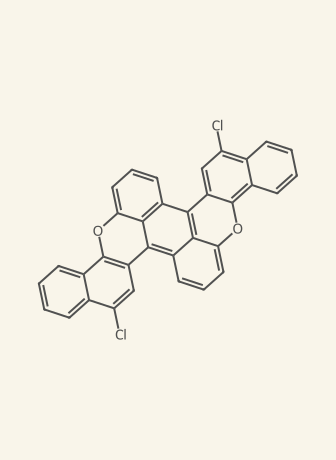 Clc1cc2c(oc3cccc4c3c2c2cccc3oc5c6ccccc6c(Cl)cc5c4c32)c2ccccc12